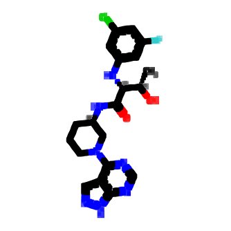 C[C@H](O)[C@@H](Nc1cc(F)cc(Cl)c1)C(=O)N[C@@H]1CCCN(c2ncnc3[nH]ncc23)C1